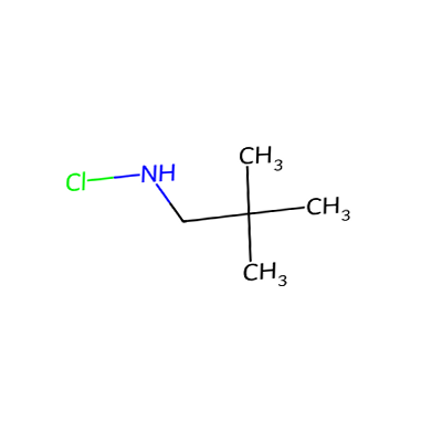 CC(C)(C)CNCl